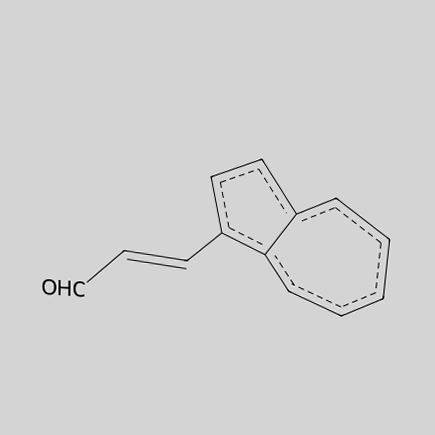 O=CC=Cc1ccc2cccccc1-2